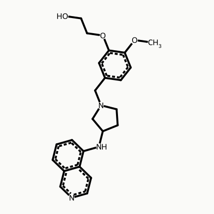 COc1ccc(CN2CCC(Nc3cccc4cnccc34)C2)cc1OCCO